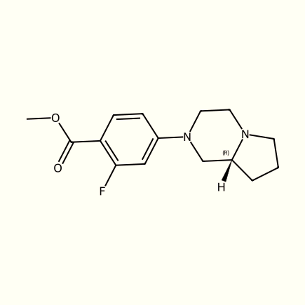 COC(=O)c1ccc(N2CCN3CCC[C@@H]3C2)cc1F